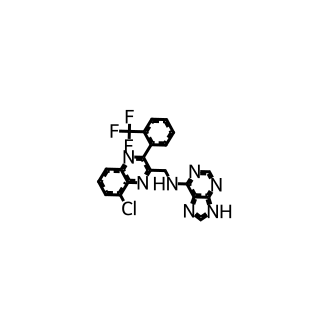 FC(F)(F)c1ccccc1-c1nc2cccc(Cl)c2nc1CNc1ncnc2[nH]cnc12